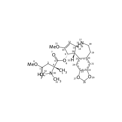 COC(=O)C[C@](C)(C(=O)O[C@@H]1C(OC)=C[C@]23CCCN2CCc2cc4c(cc2[C@H]13)OCO4)N(C)C